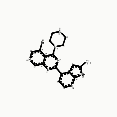 FC(F)(F)c1cc2c(-c3nc(N4CCNCC4)c4c(Br)cncc4n3)ccnc2[nH]1